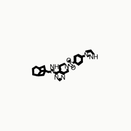 NN(CC12CC3CCCC(C1)C32)c1ncnc2c1CCN(S(=O)(=O)c1ccc(N3C=CCN3)cc1)C2